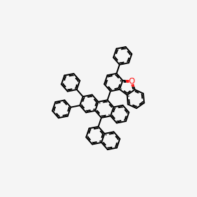 c1ccc(-c2cc3c(-c4cccc5ccccc45)c4ccccc4c(-c4ccc(-c5ccccc5)c5oc6ccccc6c45)c3cc2-c2ccccc2)cc1